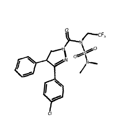 CN(C)S(=O)(=O)N(CC(F)(F)F)C(=O)N1CC(c2ccccc2)C(c2ccc(Cl)cc2)=N1